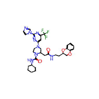 O=C(CC1CN(c2cc(C(F)(F)F)nc(-n3ccnc3)n2)CCN1C(=O)NC1CCCCC1)NCCC1COc2ccccc2O1